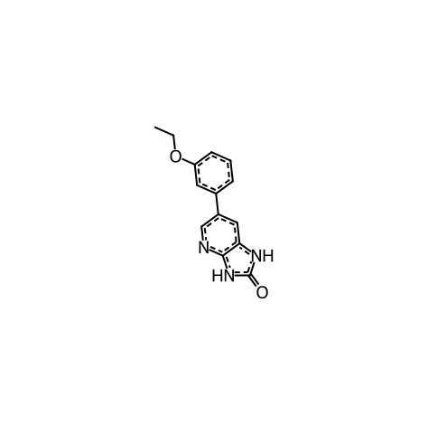 CCOc1cccc(-c2cnc3[nH]c(=O)[nH]c3c2)c1